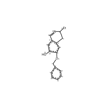 CCC1Cc2cc(OCc3ccccc3)c(O)cc2C=N1